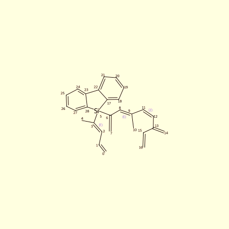 C=C/C=C(\C)[Si]1(C(=C)/C=C(C)/C=C\C(=C)C=C)c2ccccc2-c2ccccc21